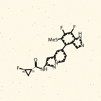 CSc1c(F)c(F)c2[nH]ncc2c1-c1ccn2nc(NC(=O)[C@@H]3C[C@H]3F)cc2c1